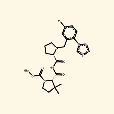 CC(C)(C)OC(=O)N1CCC(C)(C)[C@H]1C(=O)NC(=O)[C@@H]1CCCN1Cc1cc(Cl)ccc1-n1cnnn1